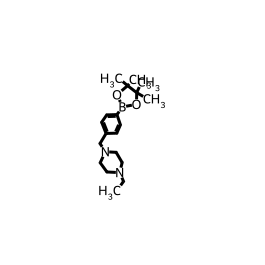 CCN1CCN(Cc2ccc(B3OC(C)(C)C(C)(C)O3)cc2)CC1